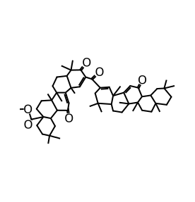 COC(=O)C12CCC(C)(C)CC1C1C(=O)C=C3C4(C)C=C(C(=O)C5=CC6(C)C7=CC(=O)C8C9CC(C)(C)CCC9(C)CCC8(C)C7(C)CCC6C(C)(C)C5)C(=O)C(C)(C)C4CCC3(C)C1(C)CC2